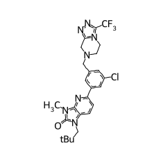 Cn1c(=O)n(CC(C)(C)C)c2ccc(-c3cc(Cl)cc(CN4CCn5c(nnc5C(F)(F)F)C4)c3)nc21